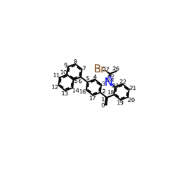 C=C(c1ccc(-c2cccc3ccccc23)cc1)c1ccccc1/N=C(\C)Br